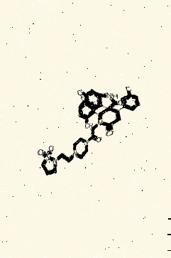 Cc1ccc(F)cc1[C@H]1N(CC(=O)N2CCN(CCN3CCCS3(=O)=O)CC2)C(=O)C[C@@H](c2cccc(Cl)c2)[C@]12C(=O)Nc1cc(Cl)ccc12